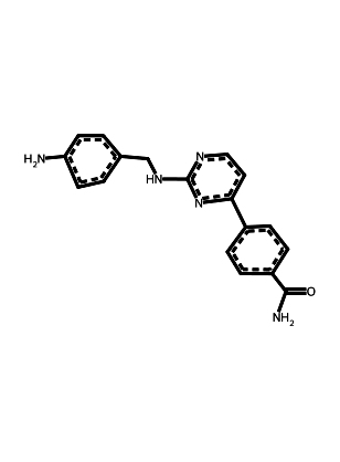 NC(=O)c1ccc(-c2ccnc(NCc3ccc(N)cc3)n2)cc1